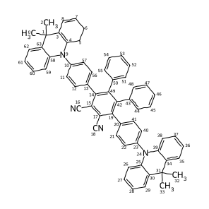 CC1(C)C2=C(CCC=C2)N(c2ccc(-c3c(C#N)c(C#N)c(-c4ccc(N5c6ccccc6C(C)(C)c6ccccc65)cc4)c(-c4ccccc4)c3-c3ccccc3)cc2)c2ccccc21